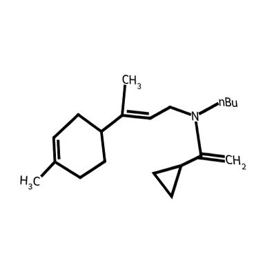 C=C(C1CC1)N(C/C=C(\C)C1CC=C(C)CC1)CCCC